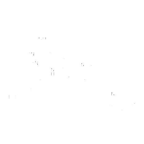 Cc1ccc(-n2nc(C(C)(C)C)cc2NC(=O)Cc2ncc(CCN3CCCCC3)s2)cc1